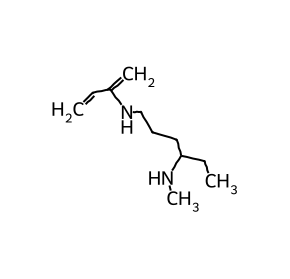 C=CC(=C)NCCCC(CC)NC